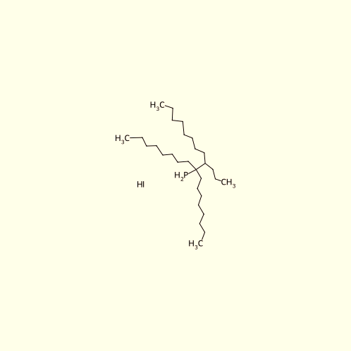 CCCCCCCCC(CCC)C(P)(CCCCCCCC)CCCCCCCC.I